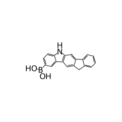 OB(O)c1ccc2[nH]c3cc4c(cc3c2c1)Cc1ccccc1-4